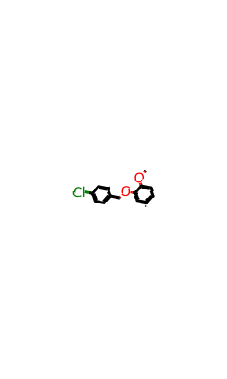 COc1cc[c]cc1OCc1ccc(Cl)cc1